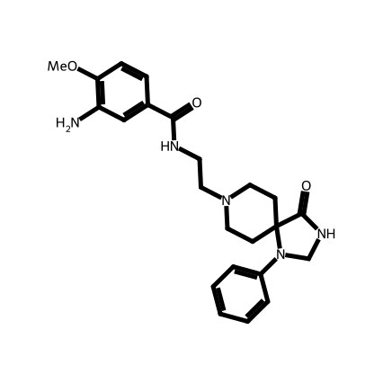 COc1ccc(C(=O)NCCN2CCC3(CC2)C(=O)NCN3c2ccccc2)cc1N